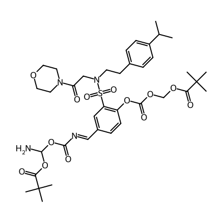 CC(C)c1ccc(CCN(CC(=O)N2CCOCC2)S(=O)(=O)c2cc(C=NC(=O)OC(N)OC(=O)C(C)(C)C)ccc2OC(=O)OCOC(=O)C(C)(C)C)cc1